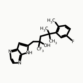 Cc1ccc(F)cc1C(C)(C)CC(O)(Cc1cc2nccnc2[nH]1)C(F)(F)F